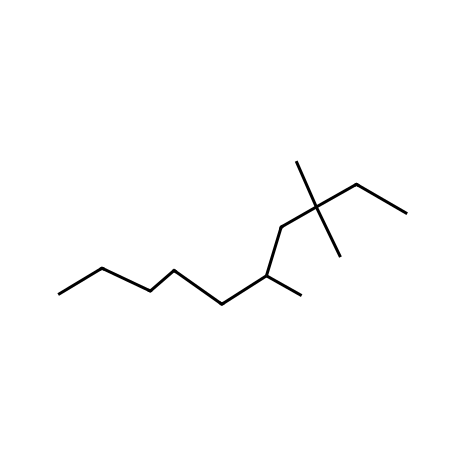 CCCCCC(C)CC(C)(C)CC